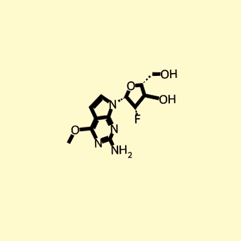 COc1nc(N)nc2c1ccn2[C@@H]1O[C@H](CO)C(O)[C@@H]1F